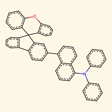 c1ccc(N(c2ccccc2)c2cccc3c(-c4ccc5c(c4)C4(c6ccccc6Oc6ccccc64)c4ccccc4-5)cccc23)cc1